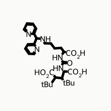 CC(C)(C)C(C(=O)O)C(C(NC(=O)NC(CCCCNC(c1ccccn1)c1ccccn1)C(=O)O)C(=O)O)C(C)(C)C